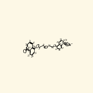 [O-][n+]1cccc2c(OCCOCCOc3cccc4c3ccc[n+]4[O-])cccc21